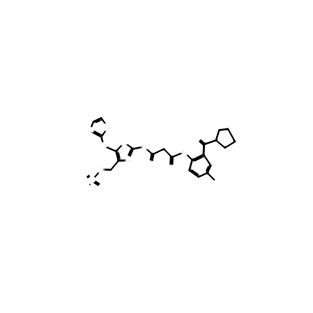 Cc1ccc(NC(=O)CC(=O)Nc2nc(CNS(C)(=O)=O)c(Sc3ncc[nH]3)s2)c(C(=O)C2CCCC2)c1